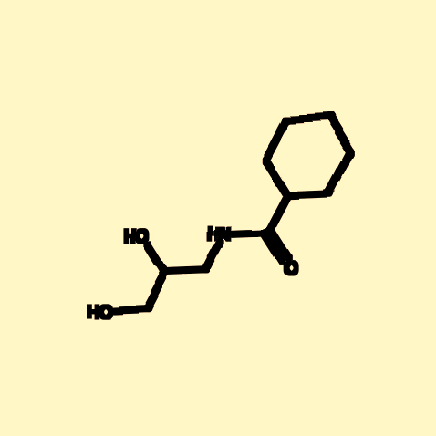 O=C(NCC(O)CO)C1CCCCC1